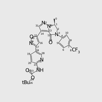 C[C@H]1CN(c2ccc(C(F)(F)F)cc2)C(=O)c2c(-c3cc(-c4ccc(NC(=O)OC(C)(C)C)nc4)no3)cnn21